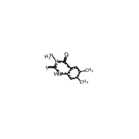 Cc1cc2[nH]c(=S)n(N)c(=O)c2cc1C